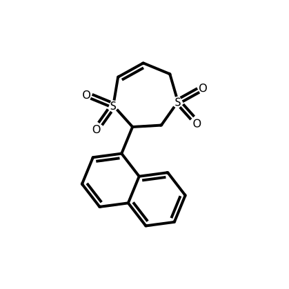 O=S1(=O)CC=CS(=O)(=O)C(c2cccc3ccccc23)C1